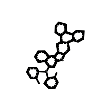 Cc1ccccc1N(c1ccccc1C)c1cc2sc3cc4c5ccccc5c5ccccc5c4cc3c2c2ccccc12